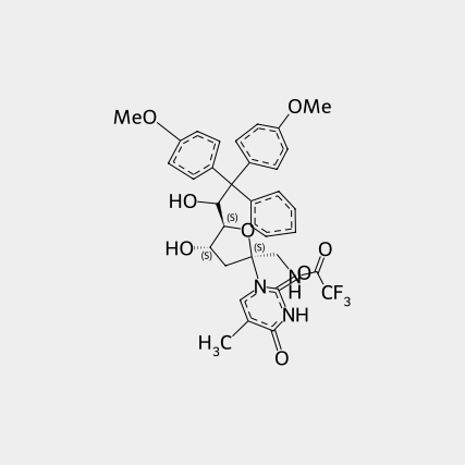 COc1ccc(C(c2ccccc2)(c2ccc(OC)cc2)C(O)[C@H]2O[C@@](CNC(=O)C(F)(F)F)(n3cc(C)c(=O)[nH]c3=O)C[C@@H]2O)cc1